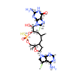 CC1CC2C[C@H](n3cc(F)c4c(N)ncnc43)O[C@@H]2COP(=O)(S)O[C@@H]([C@@H](O)n2cnc3c(=O)[nH]c(N)nc32)[C@@H]1F